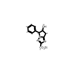 CCOC(=O)c1nc2n(n1)C(c1ccccc1)C(O)C2